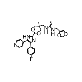 CC1(CNC(=S)NCC2=COCO2)COC(c2nc(-c3ccc(F)cc3)c(-c3ccncc3)[nH]2)OC1